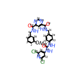 COc1cccc(CNC(=O)c2cc(C(=O)NCc3ccc(NC(=O)Nc4cc(Cl)nc(Cl)c4)cc3)ncn2)c1